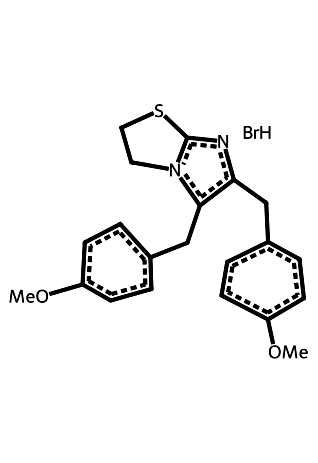 Br.COc1ccc(Cc2nc3n(c2Cc2ccc(OC)cc2)CCS3)cc1